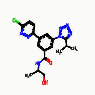 CC(CO)NC(=O)c1cc(-c2ccc(Cl)nn2)cc(-n2nnnc2C(C)C)c1